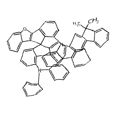 CC1(C)c2ccccc2-c2ccc(N(c3ccccc3C3=CCCC=C3)c3cccc4c3C3(c5ccccc5-c5c(N(c6ccccc6)c6ccccc6)cccc53)c3c-4oc4ccccc34)cc21